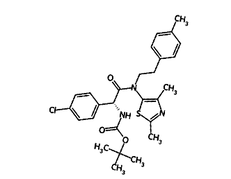 Cc1ccc(CCN(C(=O)[C@H](NC(=O)OC(C)(C)C)c2ccc(Cl)cc2)c2sc(C)nc2C)cc1